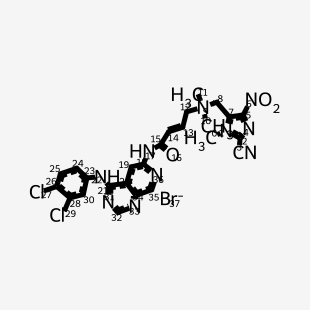 Cn1c(C#N)nc([N+](=O)[O-])c1C[N+](C)(C)C/C=C/C(=O)Nc1cc2c(Nc3ccc(Cl)c(Cl)c3)ncnc2cn1.[Br-]